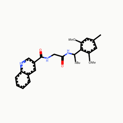 CCCCC(NC(=O)CNC(=O)c1cnc2ccccc2c1)c1c(OC)cc(C)cc1OC